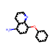 Nc1ccc(Oc2ccccc2)c2ncccc12